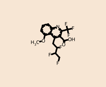 COc1cccc2nc(C(F)(F)F)c(C(=O)O)c(CC(F)C(F)CF)c12